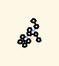 B1c2cccc3c2N(c2ccccc2C3(c2ccccc2)c2ccccc2)c2cc3ccccc3c(-c3cc(-c4ccccc4)ccc3Nc3cccc(-c4ccccc4)c3)c21